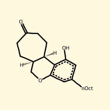 CCCCCCCCc1cc(O)c2c(c1)OC[C@H]1CCC(=O)CC[C@@H]21